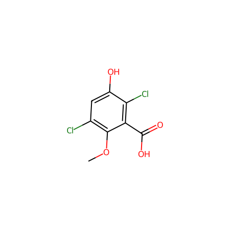 COc1c(Cl)cc(O)c(Cl)c1C(=O)O